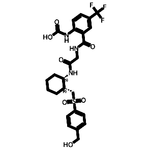 O=C(O)Nc1ccc(C(F)(F)F)cc1C(=O)NCC(=O)N[C@H]1CCCC[C@H]1CS(=O)(=O)c1ccc(CO)cc1